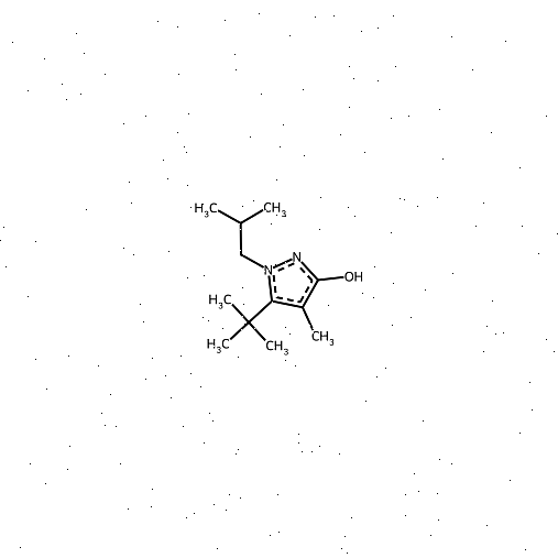 Cc1c(O)nn(CC(C)C)c1C(C)(C)C